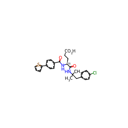 CC(C)(Cc1ccc(Cl)cc1)NC(=O)[C@H](CCC(=O)O)NC(=O)c1ccc(-c2cccs2)cc1